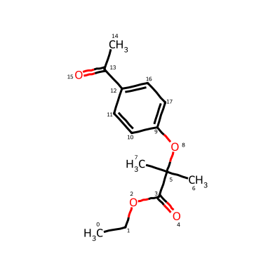 CCOC(=O)C(C)(C)Oc1ccc(C(C)=O)cc1